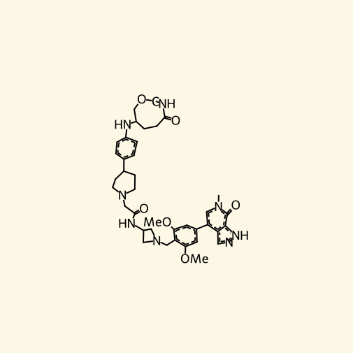 COc1cc(-c2cn(C)c(=O)c3[nH]ncc23)cc(OC)c1CN1CC(NC(=O)CN2CCC(c3ccc(NC4CCC(=O)NCOC4)cc3)CC2)C1